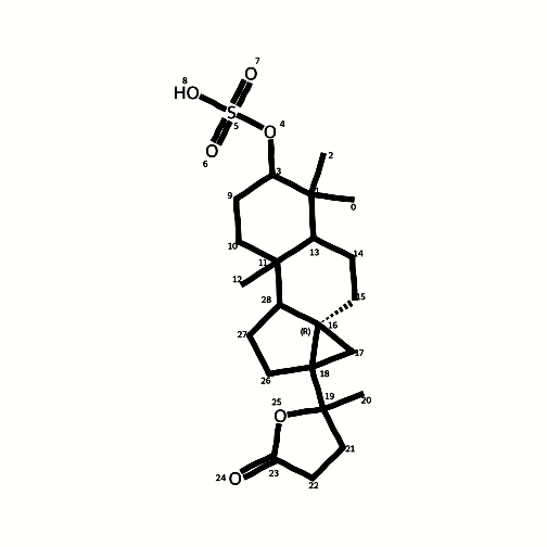 CC1(C)C(OS(=O)(=O)O)CCC2(C)C1CC[C@]13CC1(C1(C)CCC(=O)O1)CCC23